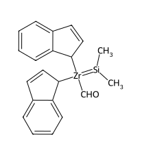 C[Si](C)=[Zr]([CH]=O)([CH]1C=Cc2ccccc21)[CH]1C=Cc2ccccc21